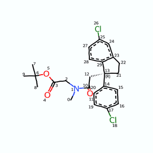 CN(CC(=O)OC(C)(C)C)C(=O)C[C@@]1(c2ccc(Cl)cc2)CCc2cc(Cl)ccc21